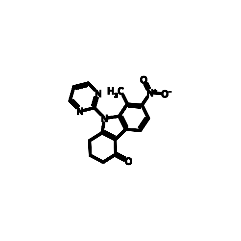 Cc1c([N+](=O)[O-])ccc2c3c(n(-c4ncccn4)c12)CCCC3=O